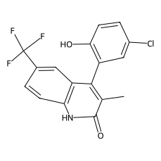 Cc1c(-c2cc(Cl)ccc2O)c2cc(C(F)(F)F)ccc2[nH]c1=O